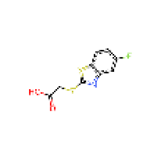 O=C(O)CSc1nc2cc(F)ccc2s1